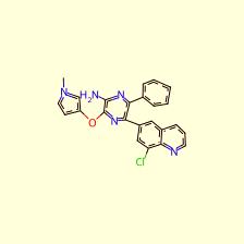 Cn1ccc(Oc2nc(-c3cc(Cl)c4ncccc4c3)c(-c3ccccc3)nc2N)c1